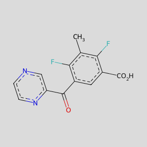 Cc1c(F)c(C(=O)O)cc(C(=O)c2cnccn2)c1F